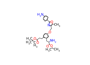 Cc1oc(-c2ccc(N)cc2)nc1CCOc1ccc(CCC(=O)OC(C)(C)C)c(CC(N)C(=O)OC(C)C)c1